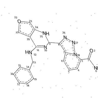 NC(=O)c1cccc2c(C3N=C(NCc4ccccc4)c4cocc4N3)nnn12